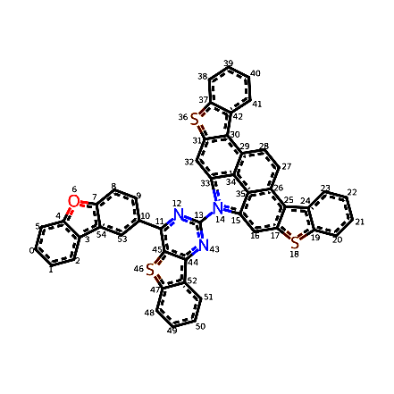 c1ccc2c(c1)oc1ccc(-c3nc(-n4c5cc6sc7ccccc7c6c6ccc7c8c(cc4c7c65)sc4ccccc48)nc4c3sc3ccccc34)cc12